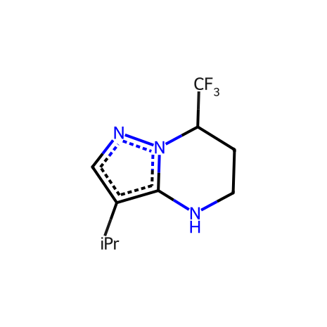 CC(C)c1cnn2c1NCCC2C(F)(F)F